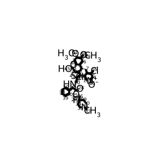 COc1ccc([C@H](Cc2c(Cl)c[n+]([O-])cc2Cl)c2cc(CNC(C(=O)OCC3(F)CCN(C)CC3)c3ccccc3)sc2C(=O)O)cc1OC